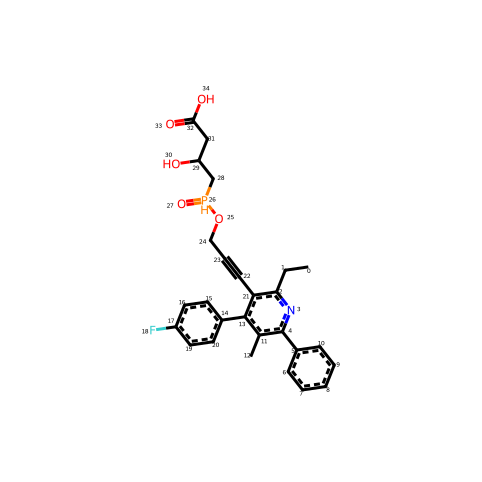 CCc1nc(-c2ccccc2)c(C)c(-c2ccc(F)cc2)c1C#CCO[PH](=O)CC(O)CC(=O)O